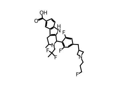 CC1Cc2c([nH]c3ccc(C(=O)O)cc23)C(c2c(F)cc(CC3CN(CCCF)C3)cc2F)N1CC(C)(F)F